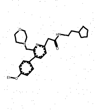 CCOc1ccc(-c2ccc(CC(=O)NCCC3CCCC3)nc2CN2CCOCC2)cc1